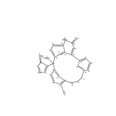 C=C1C=NC=C1C1(O)c2ccc(Cl)c(c2)OCCc2cccc(c2)-c2cc(=O)[nH]c3ccc1cc23